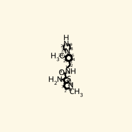 Cc1ccc2c(N)c(C(=O)NCCc3ccc(N4CCNCC4)c(C)c3)sc2n1